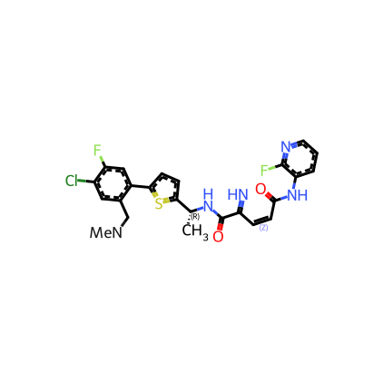 CNCc1cc(Cl)c(F)cc1-c1ccc([C@@H](C)NC(=O)C(=N)/C=C\C(=O)Nc2cccnc2F)s1